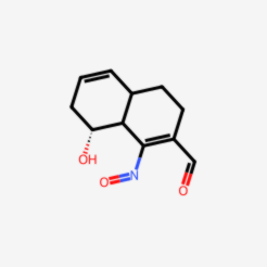 O=CC1=C(N=O)C2C(C=CC[C@H]2O)CC1